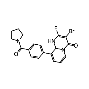 O=C(c1ccc(C2=CC=CN3C(=O)C(Br)=C(F)NC23)cc1)N1CCCC1